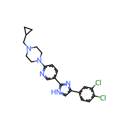 Clc1ccc(-c2c[nH]c(-c3ccc(N4CCN(CC5CC5)CC4)nc3)n2)cc1Cl